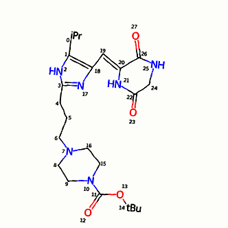 CC(C)c1[nH]c(CCCN2CCN(C(=O)OC(C)(C)C)CC2)nc1C=C1NC(=O)CNC1=O